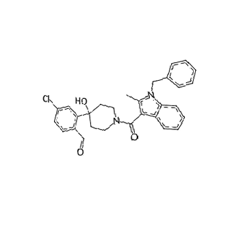 Cc1c(C(=O)N2CCC(O)(c3cc(Cl)ccc3C=O)CC2)c2ccccc2n1Cc1ccccc1